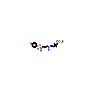 CC(C)(CCNCCCNS(=O)(=O)c1ccc(Cl)cc1)CC(=O)O